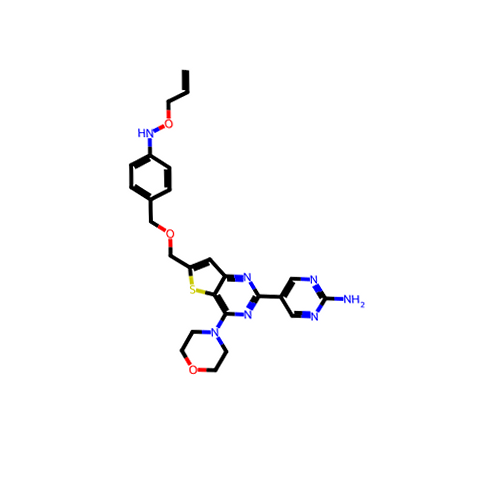 C=CCONc1ccc(COCc2cc3nc(-c4cnc(N)nc4)nc(N4CCOCC4)c3s2)cc1